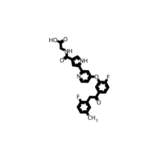 Cc1ccc(F)c(CC(=O)c2ccc(F)c(Oc3ccnc(-c4cc(C(=O)NCC(=O)O)c[nH]4)c3)c2)c1